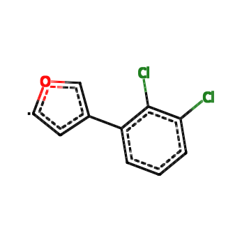 Clc1cccc(-c2c[c]oc2)c1Cl